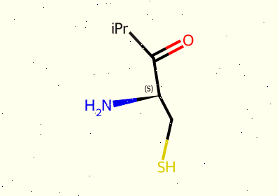 CC(C)C(=O)[C@H](N)CS